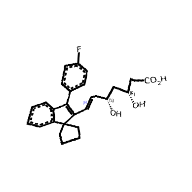 O=C(O)C[C@H](O)C[C@H](O)/C=C/C1=C(c2ccc(F)cc2)c2ccccc2C12CCCC2